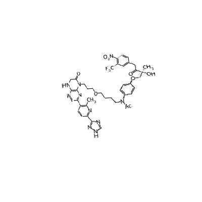 CC(=O)N(CCCCOCCCN1C(=O)CNc2ncc(-c3ccc(-c4nc[nH]n4)nc3C)nc21)c1ccc(OC[C@](C)(O)C(=O)Cc2ccc([N+](=O)[O-])c(C(F)(F)F)c2)cc1